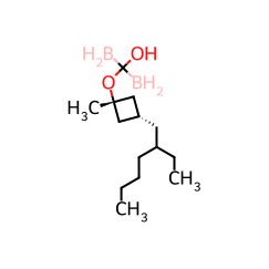 BC(B)(O)O[C@]1(C)C[C@H](CC(CC)CCCC)C1